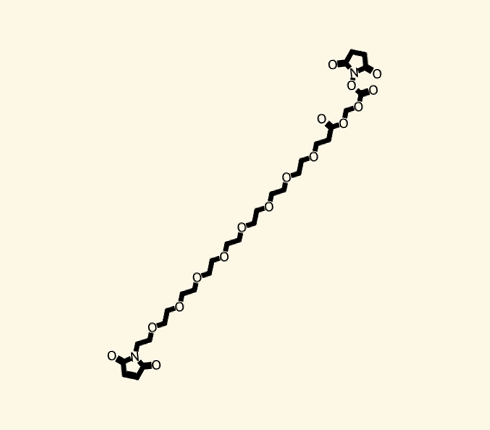 O=C(CCOCCOCCOCCOCCOCCOCCOCCOCCN1C(=O)C=CC1=O)OCOC(=O)ON1C(=O)CCC1=O